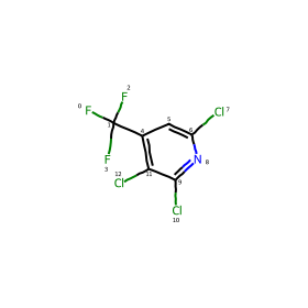 FC(F)(F)c1cc(Cl)nc(Cl)c1Cl